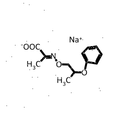 CC(=NOCC(C)Oc1ccccc1)C(=O)[O-].[Na+]